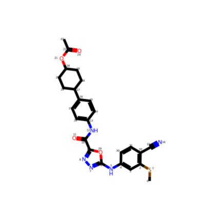 CSc1cc(Nc2nnc(C(=O)Nc3ccc(C4CCC(OC(C)=O)CC4)cc3)o2)ccc1C#N